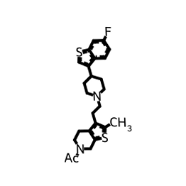 CC(=O)N1CCc2c(sc(C)c2CCN2CCC(c3csc4cc(F)ccc34)CC2)C1